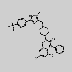 Cc1[nH]c(-c2ccc(C(F)(F)F)cc2)nc1CN1CCC(N(Cc2cc(Cl)cc(Cl)c2)C(=O)Nc2ccccc2)CC1